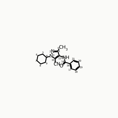 Cc1nn(C2CCCCC2)c(C#N)c1NC(=O)c1ccccc1